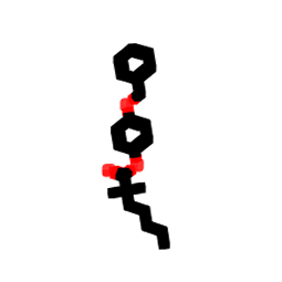 CCCCCC(C)(C)C(=O)Oc1ccc(OCc2ccccc2)cc1